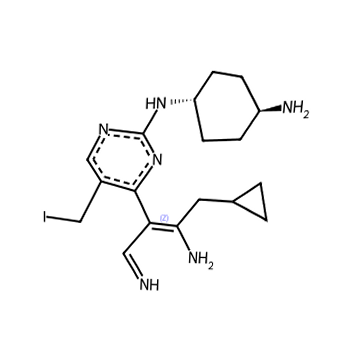 N=C/C(=C(\N)CC1CC1)c1nc(N[C@H]2CC[C@H](N)CC2)ncc1CI